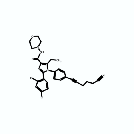 CCc1c(C(=O)NN2CCOCC2)nc(-c2ccc(Cl)cc2Cl)n1-c1ccc(C#CCCCC#N)cc1